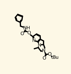 CC1CN(C(=O)OC(C)(C)C)CC2Cc3ccc(COC(=O)NCc4ccccc4)nc3N12